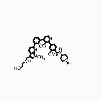 COc1cc(-c2nccc(-c3cccc(-c4ccc5c(CNCCO)cn(C)c5n4)c3Cl)c2Cl)ccc1CNC1CCN(C(C)=O)CC1